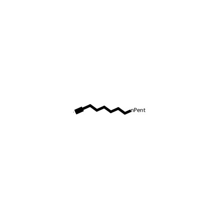 [C]#CCCCCCCCCCCC